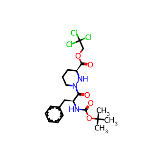 CC(C)(C)OC(=O)N[C@@H](Cc1ccccc1)C(=O)N1CCC[C@@H](C(=O)OCC(Cl)(Cl)Cl)N1